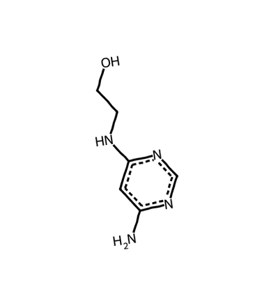 Nc1cc(NCCO)ncn1